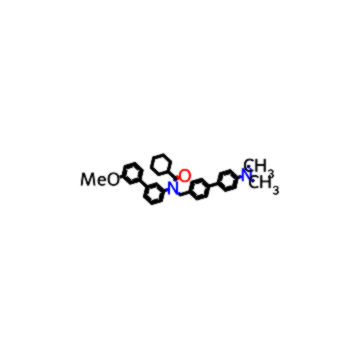 COc1cccc(-c2cccc(N(Cc3ccc(-c4ccc(N(C)C)cc4)cc3)C(=O)C3CCCCC3)c2)c1